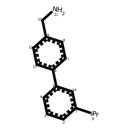 CC(C)c1cccc(-c2ccc(CN)cc2)c1